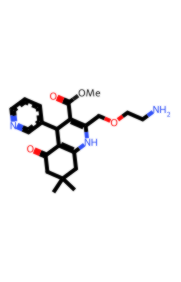 COC(=O)C1=C(COCCN)NC2=C(C(=O)CC(C)(C)C2)C1c1cccnc1